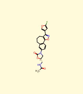 CC(=O)NC[C@H]1CN(c2ccc3c(c2)CCCc2c(-c4coc(F)c4)noc2-3)C(=O)O1